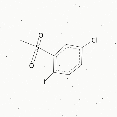 CS(=O)(=O)c1cc(Cl)ccc1I